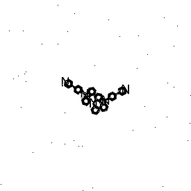 c1ccc(N(c2cccc3c2c2ccccc2n3-c2ccc(-c3ccncc3)cc2)c2cccc3c2c2ccccc2n3-c2ccc(-c3ccncc3)cc2)cc1